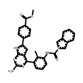 COC(=O)c1ccc(-c2cc3c(-c4cccc(NC(=O)n5cc6ccccc6c5)c4C)nc(N)nc3[nH]2)cc1